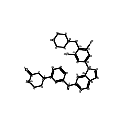 O=C1CN(c2cc(Nc3ncc4ccn(-c5cc(F)c(CN6CCOCC6)c(F)c5)c4n3)ccn2)CCN1